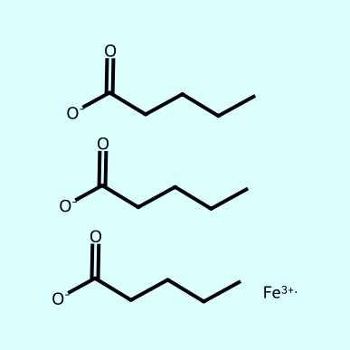 CCCCC(=O)[O-].CCCCC(=O)[O-].CCCCC(=O)[O-].[Fe+3]